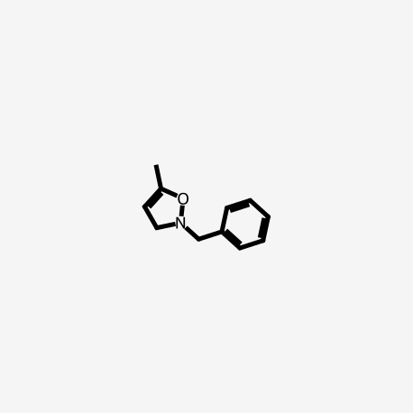 CC1=CCN(Cc2ccccc2)O1